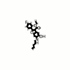 C=CCCCNc1cc2oc(-c3ccc(F)cc3)c(C(=O)OCC)c2cc1O